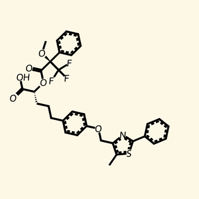 CO[C@@](C(=O)O[C@H](CCCc1ccc(OCc2nc(-c3ccccc3)sc2C)cc1)C(=O)O)(c1ccccc1)C(F)(F)F